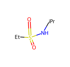 [CH2]C(C)NS(=O)(=O)CC